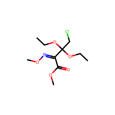 CCOC(CCl)(OCC)C(=NOC)C(=O)OC